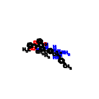 CCC1CCC(Nc2nc(N)nc(Nc3cc(Nc4ccc5c6c4C(=O)c4ccccc4C6=C(C(O)c4cccc(C)c4)C(O)N5C)c(C)cc3C)n2)CC1